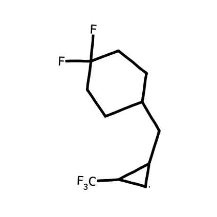 FC1(F)CCC(CC2[CH]C2C(F)(F)F)CC1